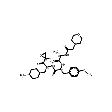 COc1ccc(C[C@H](NC(=O)[C@H](C)NC(=O)CN2CCOCC2)C(=O)N[C@@H](C[C@H]2CC[C@H](N)CC2)C(=O)[C@@]2(C)CO2)cc1